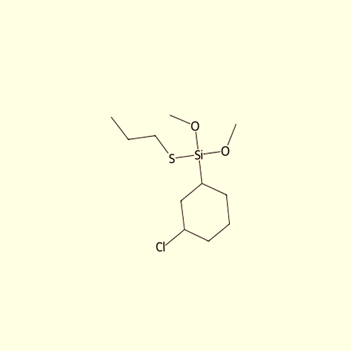 CCCS[Si](OC)(OC)C1CCCC(Cl)C1